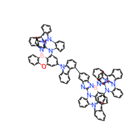 c1ccc2c(c1)Oc1cc(-n3c4ccccc4c4c(-c5ccc6c(c5)nc5n6B6c7c(cccc7N5c5ccccc5-n5c7ccccc7c7ccccc75)N(c5ccccc5-n5c7ccccc7c7ccccc75)c5nc7ccccc7n56)cccc43)cc3c1B2n1c(nc2ccccc21)N3c1ccccc1-n1c2ccccc2c2ccccc21